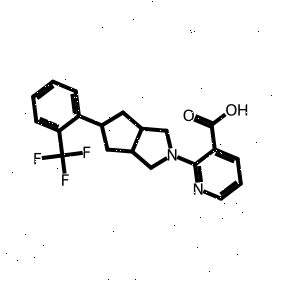 O=C(O)c1cccnc1N1CC2CC(c3ccccc3C(F)(F)F)CC2C1